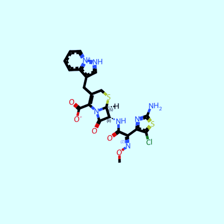 CO/N=C(\C(=O)N[C@@H]1C(=O)N2C(C(=O)[O-])=C(Cc3c[nH][n+]4ccccc34)CS[C@@H]12)c1nc(N)sc1Cl